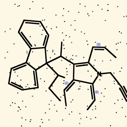 C#CCn1c(/C=C\C)c(C(C)C2(C(C)CC)c3ccccc3-c3ccccc32)c(=C/C)/c1=C\C